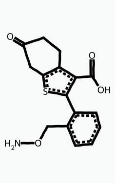 NOCc1ccccc1-c1sc2c(c1C(=O)O)CCC(=O)C2